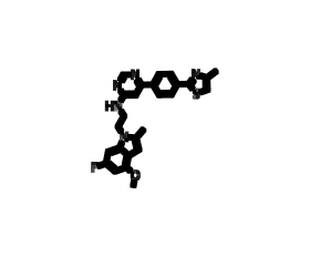 COc1cc(F)cc2c1cc(C)n2CCNc1cc(-c2ccc(-c3nc(C)cs3)cc2)ncn1